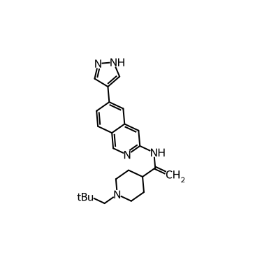 C=C(Nc1cc2cc(-c3cn[nH]c3)ccc2cn1)C1CCN(CC(C)(C)C)CC1